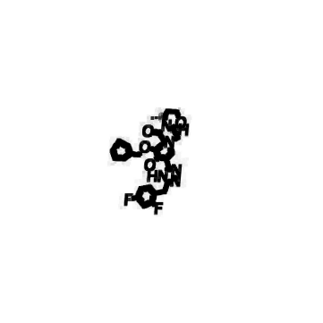 C[C@@H]1CCO[C@H]2Cn3cc(-c4nnc(Cc5ccc(F)cc5F)[nH]4)c(=O)c(OCc4ccccc4)c3C(=O)N12